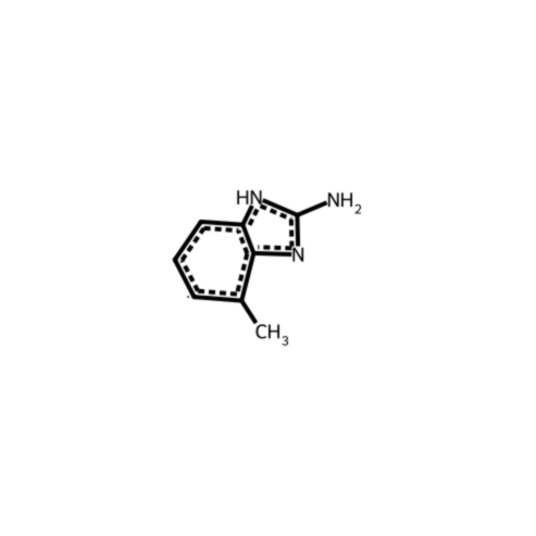 Cc1[c]ccc2[nH]c(N)nc12